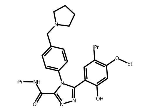 CCOc1cc(O)c(-c2nnc(C(=O)NC(C)C)n2-c2ccc(CN3CCCC3)cc2)cc1C(C)C